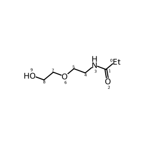 CCC(=O)NCCOCCO